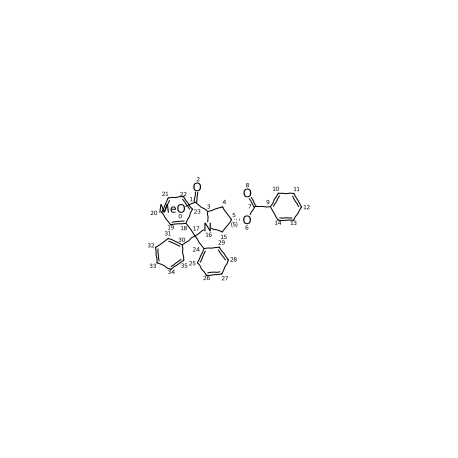 COC(=O)C1C[C@H](OC(=O)c2ccccc2)CN1C(c1ccccc1)(c1ccccc1)c1ccccc1